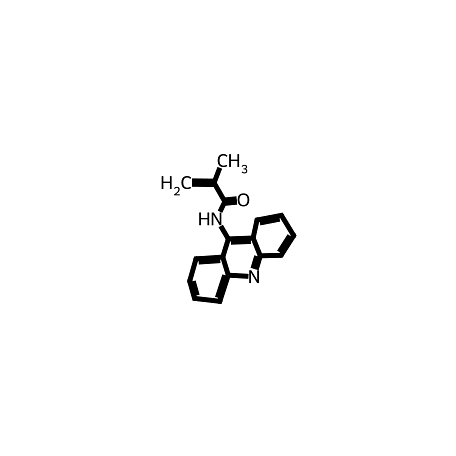 C=C(C)C(=O)Nc1c2ccccc2nc2ccccc12